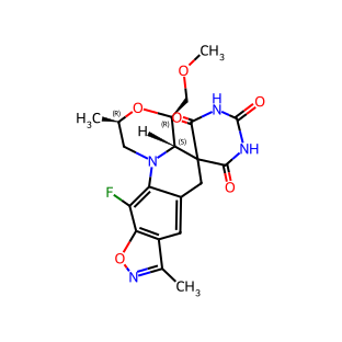 COC[C@@H]1O[C@H](C)CN2c3c(cc4c(C)noc4c3F)CC3(C(=O)NC(=O)NC3=O)[C@@H]12